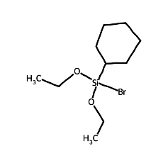 CCO[Si](Br)(OCC)C1CCCCC1